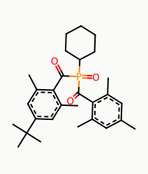 Cc1cc(C)c(C(=O)P(=O)(C(=O)c2c(C)cc(C(C)(C)C)cc2C)C2CCCCC2)c(C)c1